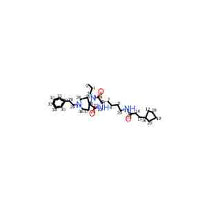 CCCN1C(=O)[C@H](CCCCNC(=O)CCC2CCCC2)NC(=O)C12CCN(CCc1ccccc1)CC2